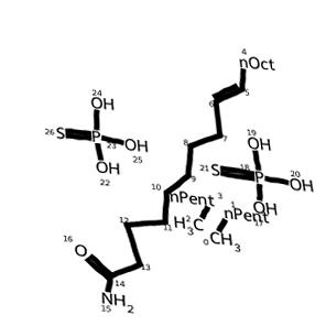 CCCCCC.CCCCCC.CCCCCCCCC=CCCCCCCCC(N)=O.OP(O)(O)=S.OP(O)(O)=S